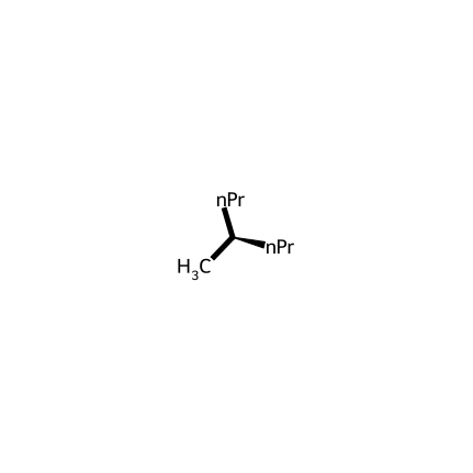 [CH2]CC[C@@H](C)CCC